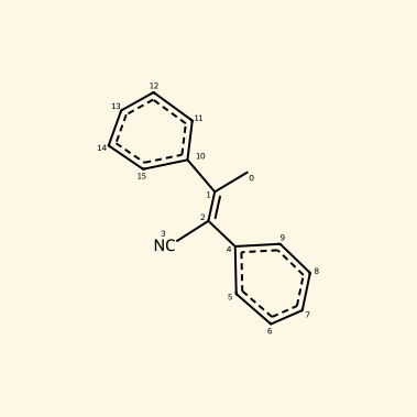 C/C(=C(/C#N)c1ccccc1)c1ccccc1